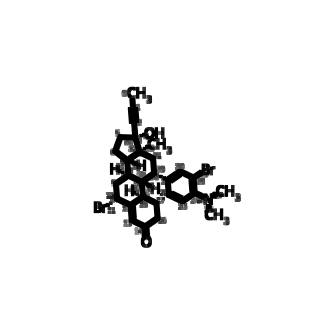 CC#C[C@]1(O)CC[C@H]2[C@@H]3C[C@@H](Br)C4=CC(=O)CC[C@@H]4[C@H]3[C@@H](c3ccc(N(C)C)c(Br)c3)C[C@@]21C